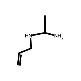 C=CCNC(C)N